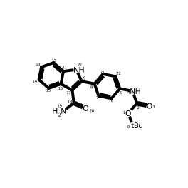 CC(C)(C)OC(=O)Nc1ccc(-c2[nH]c3ccccc3c2C(N)=O)cc1